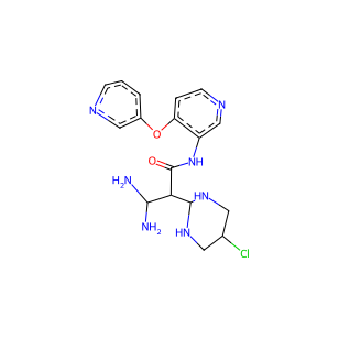 NC(N)C(C(=O)Nc1cnccc1Oc1cccnc1)C1NCC(Cl)CN1